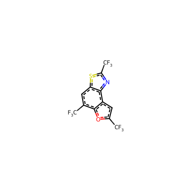 FC(F)(F)c1cc2c(o1)c(C(F)(F)F)cc1sc(C(F)(F)F)nc12